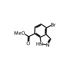 COC(=O)c1ccc(Br)c2cn[nH]c12